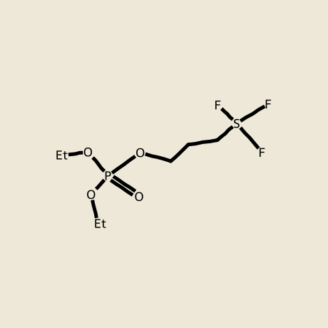 CCOP(=O)(OCC)OCCCS(F)(F)F